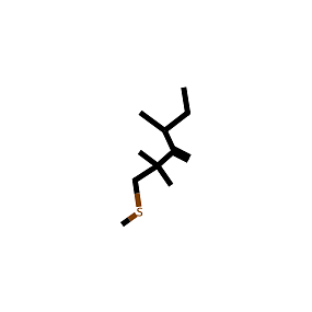 C=C(C(C)CC)C(C)(C)CSC